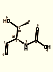 C=C[C@@H](NC(=O)O)[C@@H](C)O